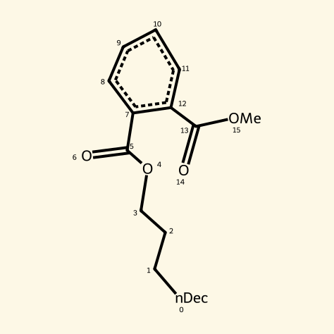 CCCCCCCCCCCCCOC(=O)c1ccccc1C(=O)OC